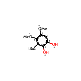 COc1cc(O)c(O)c(C(C)(C)C)c1OC